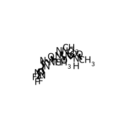 CC(=O)NC(=O)Cn1c(=O)c2c(ncn2[C@@H](C)C(=O)Nc2cncc(-c3cnc(C(F)(F)F)nc3)n2)n(C)c1=O